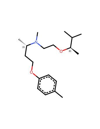 Cc1ccc(OCC[C@H](C)N(C)CCO[C@H](C)C(C)C)cc1